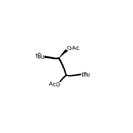 CC(=O)OC([C@H](OC(C)=O)C(C)(C)C)C(C)(C)C